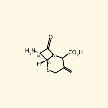 C=C1CS[C@@H]2[C@H](N)C(=O)N2C1C(=O)O